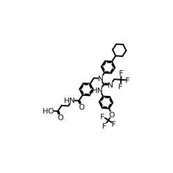 O=C(O)CCNC(=O)c1ccc(CN(/C(=N\CC(F)(F)F)Nc2ccc(OC(F)(F)F)cc2)c2ccc(C3CCCCC3)cc2)cc1